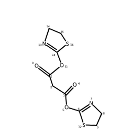 O=C(CC(=O)OC1=NCCS1)OC1=NCCS1